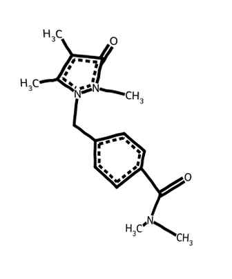 Cc1c(C)n(Cc2ccc(C(=O)N(C)C)cc2)n(C)c1=O